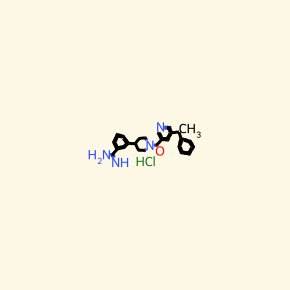 CC(c1ccccc1)c1cncc(C(=O)N2CCC(c3cccc(C(=N)N)c3)CC2)c1.Cl